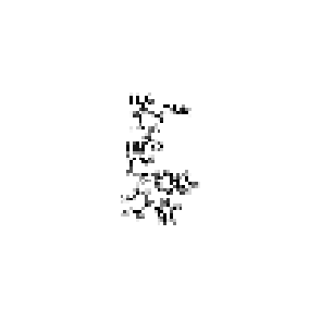 COc1cc(C(=O)Nc2cccc(-c3cn4ccnc4c(-n4ccnc4-c4ccccc4)n3)c2)ccc1C